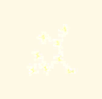 CS(C)(C)CCCS(C)(CCCS(C)(C)C)CCCS(C)(CCCS)CCCS(C)(CCCS(C)(C)C)CCCS(C)(C)C